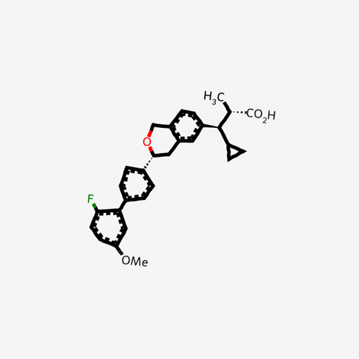 COc1ccc(F)c(-c2ccc([C@H]3Cc4cc([C@H](C5CC5)[C@H](C)C(=O)O)ccc4CO3)cc2)c1